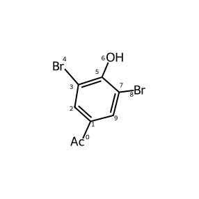 [CH2]C(=O)c1cc(Br)c(O)c(Br)c1